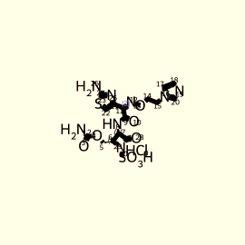 Cl.NC(=O)OC[C@@H]1[C@H](NC(=O)/C(=N\OCCn2ccnc2)c2csc(N)n2)C(=O)N1S(=O)(=O)O